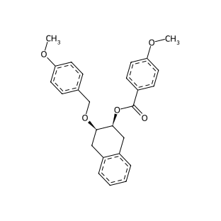 COc1ccc(CO[C@@H]2Cc3ccccc3C[C@@H]2OC(=O)c2ccc(OC)cc2)cc1